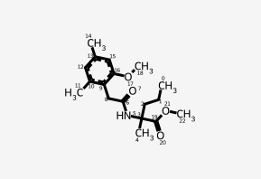 CCCC(C)(NC(=O)Cc1c(C)cc(C)cc1OC)C(=O)OC